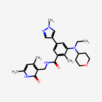 CCN(c1cc(-c2cnn(C)c2)cc(C(=O)NCc2c(C)cc(C)[nH]c2=O)c1C)C1CCOCC1